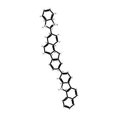 c1ccc2c(c1)ccc1c3ccc(-c4ccc5c(c4)Cc4c-5ccc5cc(-c6nc7ccccc7o6)ccc45)cc3oc21